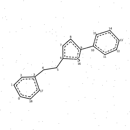 c1ccc(CCc2ccc(-c3ccccc3)s2)cc1